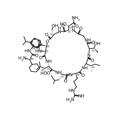 CC[C@H](C)C1NC(=O)[C@@H](CCCNC(=N)N)NC(=O)[C@H](CC(C)C)NC(=O)[C@H]([C@H](O)C(C)C)NC(=O)[C@@H](NC(=O)[C@H](CC(C)C)NC(=O)[C@H](N)C2CCCCC2)[C@@H](c2ccccc2)OC(=O)[C@H](CO)NC(=O)[C@H]([C@H](O)C(N)=O)NC(=O)CNC(=O)C([C@H](C)O)NC1=O